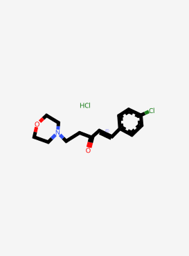 Cl.O=C(/C=C/c1ccc(Cl)cc1)CCN1CCOCC1